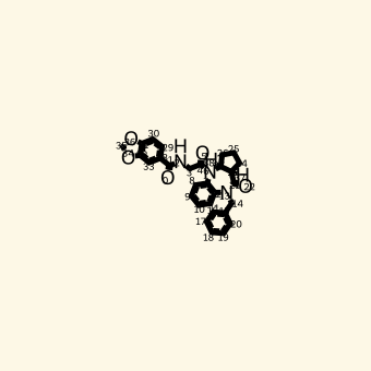 O=C(NCC(=O)N1c2ccccc2N(Cc2ccccc2)C(=O)[C@H]2CCC[C@H]21)c1ccc2c(c1)OCO2